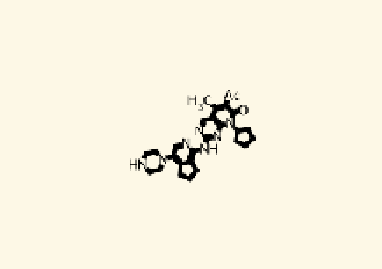 CC(=O)c1c(C)c2cnc(Nc3ncc(N4CCNCC4)c4c3CCC4)nc2n(C2CCCC2)c1=O